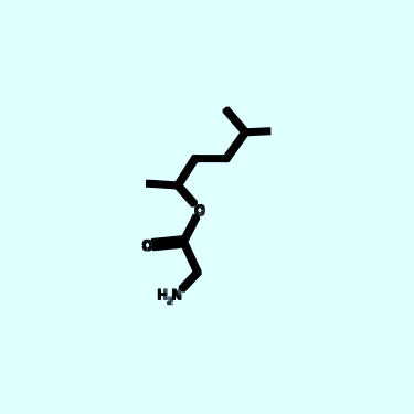 CC(C)CCC(C)OC(=O)CN